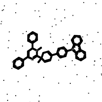 CN1C(C2(C)C=CC(c3ccc(-n4c5ccccc5c5ccccc54)cc3)=CC2)=NC(c2ccccc2)=CC1c1ccccc1